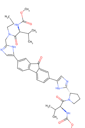 CCCN(Cc1ncc(-c2ccc3c(c2)C(=O)c2cc(-c4cnc([C@@H]5CCCN5C(=O)[C@@H](NC(=O)OC)C(C)C)[nH]4)ccc2-3)[nH]1)C(=O)[C@@H](NC(=O)OC)C(C)C